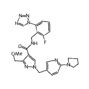 COCc1nn(Cc2ccc(N3CCCC3)nc2)cc1C(=O)NCc1c(F)cccc1-n1cnnn1